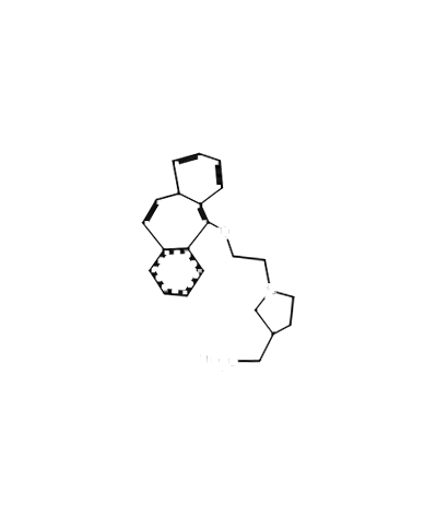 O=C(O)CC1CCN(CCOC2=C3C=CC=CC3C=Cc3ccccc32)C1